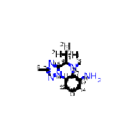 [2H]C([2H])([2H])C1c2nc(C)nn2-c2cccc(N)c2N1C